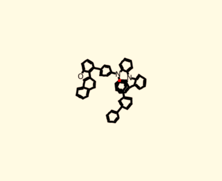 c1ccc(-c2cccc(-c3ccc(N(c4ccc(-c5cccc6oc7c8ccccc8ccc7c56)cc4)c4ccccc4-n4c5ccccc5c5ccccc54)cc3)c2)cc1